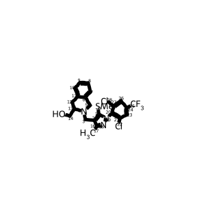 CSc1c(CN2Cc3ccccc3CC2CO)c(C)nn1-c1c(Cl)cc(C(F)(F)F)cc1Cl